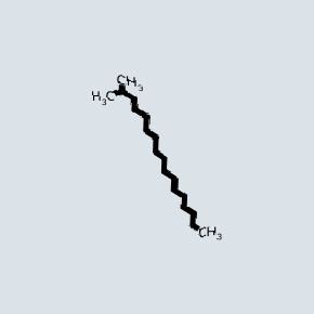 CCCCCC=CCCCCCCCCC(C)C